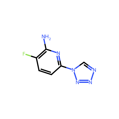 Nc1nc(-n2cnnn2)ccc1F